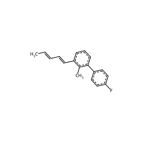 C/C=C/C=C/c1cccc(-c2ccc(F)cc2)c1C